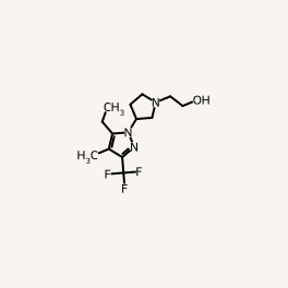 CCc1c(C)c(C(F)(F)F)nn1C1CCN(CCO)C1